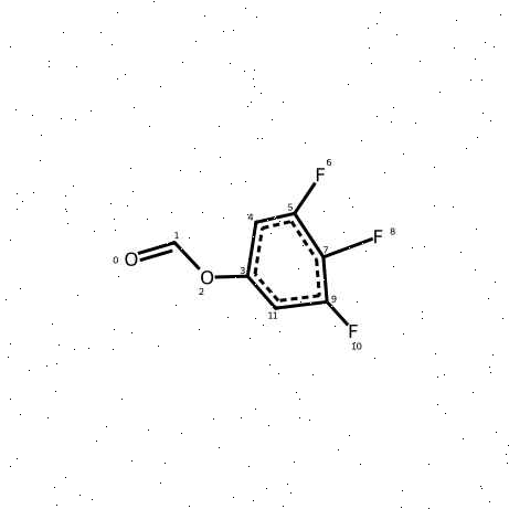 O=COc1cc(F)c(F)c(F)c1